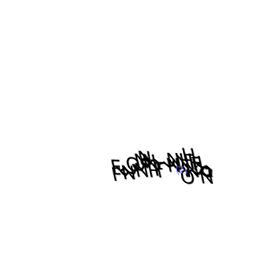 N/C(=C\N(N)CCC(F)Cn1cc(NC(=O)CN2CC(F)(F)C2)nn1)C(=O)NCc1ncccc1F